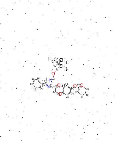 C[Si](C)(C)CCOCn1cc(-c2ccccc2)nc1[C@H]1COc2ccc(OC3CCCCO3)cc2O1